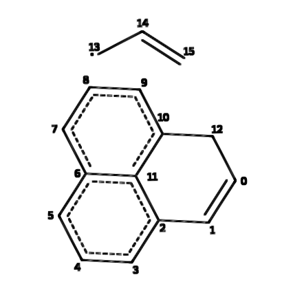 C1=Cc2cccc3cccc(c23)C1.[CH2]C=C